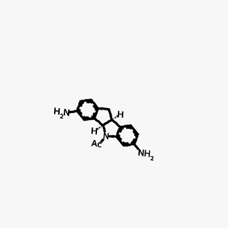 CC(=O)N1c2cc(N)ccc2[C@@H]2Cc3ccc(N)cc3[C@@H]21